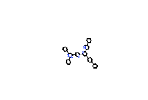 c1ccc(-c2ccc(-c3cc(-c4ccc(-c5ccccc5)cn4)nc(-c4ccc(-c5cc(-c6ccccc6)nc(-c6ccccc6)n5)cn4)c3)cc2)cc1